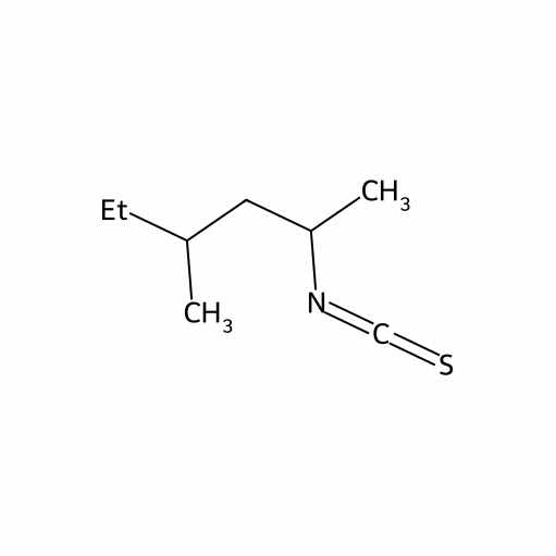 CCC(C)CC(C)N=C=S